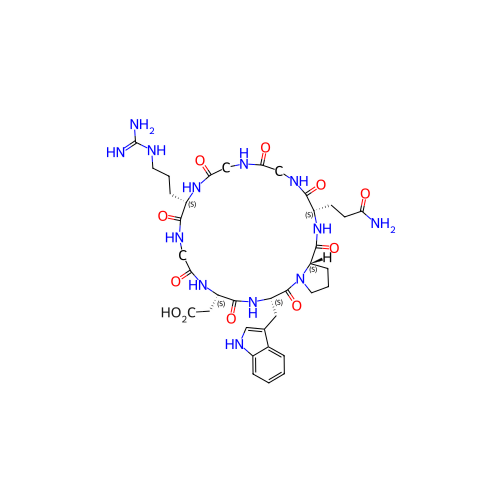 N=C(N)NCCC[C@@H]1NC(=O)CNC(=O)CNC(=O)[C@H](CCC(N)=O)NC(=O)[C@@H]2CCCN2C(=O)[C@H](Cc2c[nH]c3ccccc23)NC(=O)[C@H](CC(=O)O)NC(=O)CNC1=O